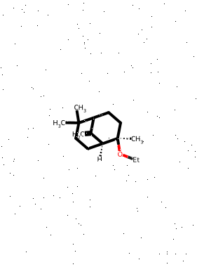 C=C1C2CC[C@@](C)(OCC)[C@H]1CCC2(C)C